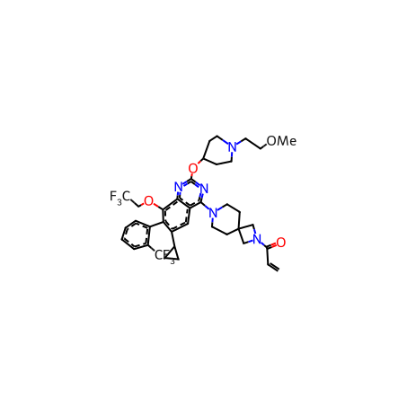 C=CC(=O)N1CC2(CCN(c3nc(OC4CCN(CCOC)CC4)nc4c(OCC(F)(F)F)c(-c5ccccc5C(F)(F)F)c(C5CC5)cc34)CC2)C1